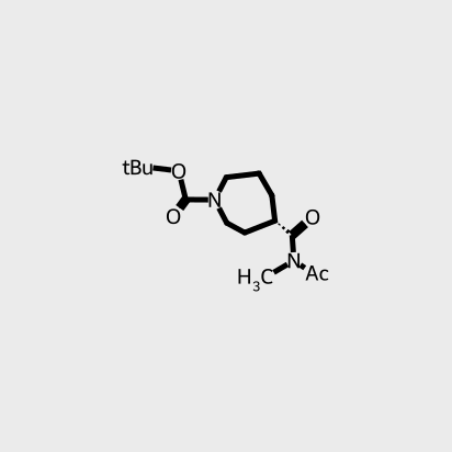 CC(=O)N(C)C(=O)[C@H]1CCCN(C(=O)OC(C)(C)C)CC1